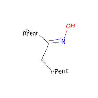 CCCCCCC(CCCCC)=NO